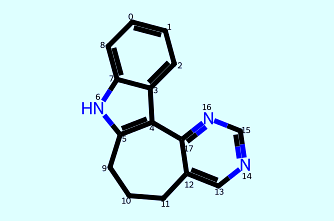 c1ccc2c3c([nH]c2c1)CCCc1cncnc1-3